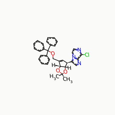 CC1(C)O[C@@H]2[C@H](O1)C(COC(c1ccccc1)(c1ccccc1)c1ccccc1)=C[C@H]2c1cnc2c(Cl)nccn12